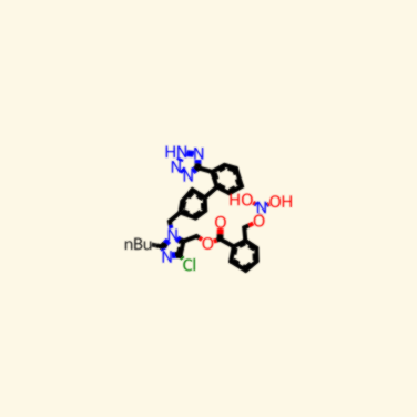 CCCCc1nc(Cl)c(COC(=O)c2ccccc2CON(O)O)n1Cc1ccc(-c2ccccc2-c2nn[nH]n2)cc1